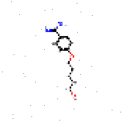 N=C(N)c1ccc(OCCCCCO)cc1